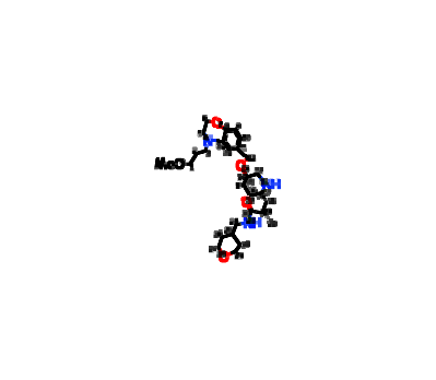 COCCCN1CCOc2ccc(CO[C@@H]3CC[C@@H](C[C@H](C)C(=O)NCC4CCOCC4)NC3)cc21